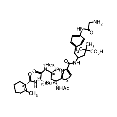 CCCCCCN(C(=O)[C@@H](NC(=O)[C@H]1CCCCN1C)[C@@H](C)CC)[C@H](C[C@@H](NC(C)=O)c1nc(C(=O)NC(Cc2ccc(NC(=O)CN)cc2)CC(C)(C)C(=O)O)cs1)C(C)C